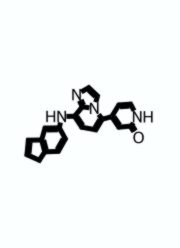 O=c1cc(-c2ccc(Nc3ccc4c(c3)C=CC4)c3nccn23)cc[nH]1